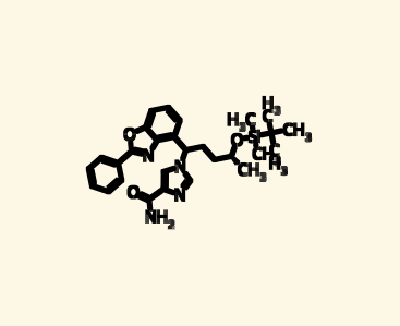 C[C@@H](CCC(c1cccc2oc(-c3ccccc3)nc12)n1cnc(C(N)=O)c1)O[Si](C)(C)C(C)(C)C